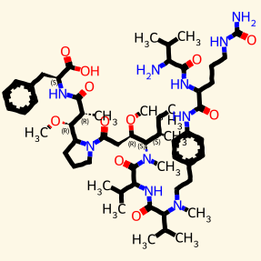 CC[C@H](C)[C@@H]([C@@H](CC(=O)N1CCCC1[C@H](OC)[C@@H](C)C(=O)N[C@@H](Cc1ccccc1)C(=O)O)OC)N(C)C(=O)C(NC(=O)C(C(C)C)N(C)CCc1ccc(NC(=O)C(CCCNC(N)=O)NC(=O)C(N)C(C)C)cc1)C(C)C